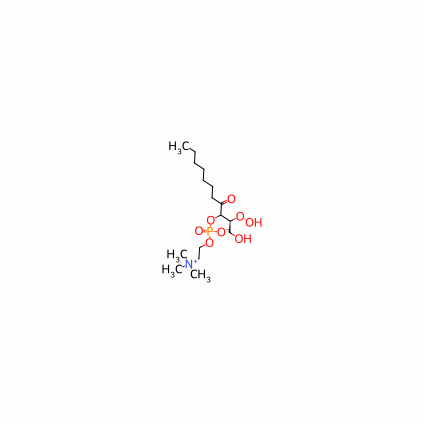 CCCCCCCC(=O)C(OP(=O)([O-])OCC[N+](C)(C)C)[C@H](CO)OO